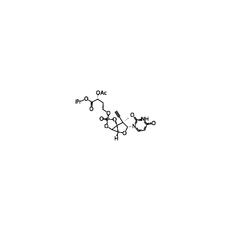 C#C[C@@]1(C)[C@H](n2ccc(=O)[nH]c2=O)O[C@@H]2C3O[P@@](=O)(OCC[C@@H](OC(C)=O)C(=O)OC(C)C)O[C@]321